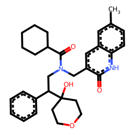 Cc1ccc2[nH]c(=O)c(CN(CC(c3ccccc3)C3(O)CCOCC3)C(=O)C3CCCCC3)cc2c1